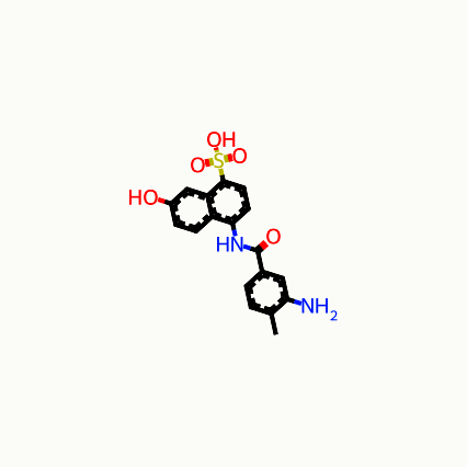 Cc1ccc(C(=O)Nc2ccc(S(=O)(=O)O)c3cc(O)ccc23)cc1N